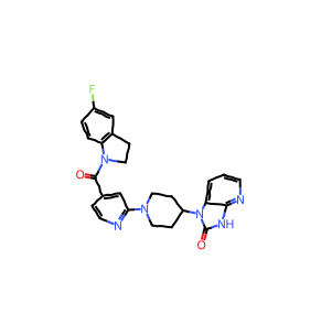 O=C(c1ccnc(N2CCC(n3c(=O)[nH]c4ncccc43)CC2)c1)N1CCc2cc(F)ccc21